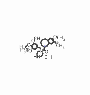 COc1cc2c(cc1OC)CCCC/C(C(=O)[N+]1(Cc3cc(OC)c(OC)c(OC)c3)CCNCC1)=C\2.Cl